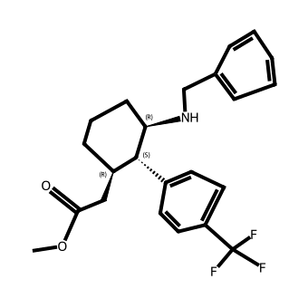 COC(=O)C[C@H]1CCC[C@@H](NCc2ccccc2)[C@@H]1c1ccc(C(F)(F)F)cc1